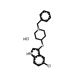 Cl.Clc1ccc2[nH]cc(SC3CCN(Cc4ccccc4)CC3)c2c1